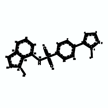 Cn1nccc1-c1ccc(S(=O)(=O)Nc2cccc3cnn(C)c23)cn1